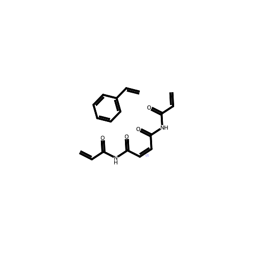 C=CC(=O)NC(=O)/C=C\C(=O)NC(=O)C=C.C=Cc1ccccc1